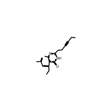 C=C(C)/C=C(/CC)c1c(C)nc(CCC#CCC)[nH]c1=O